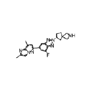 Cc1cn2nc(-c3cc(F)c4nn([C@@H]5CCC6(CNC6)C5)nc4c3)cc(C)c2n1